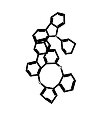 C1=CC(n2c3ccccc3c3cccc(-c4ccc5c(c4)-c4c(cccc4-c4ccccc4)Oc4ccccc4-c4ccccc4O5)c32)=CCC1